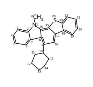 Cn1c2ccccc2c2c(C3CCCCC3)cc3c4ccccc4sc3c21